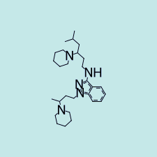 CC(C)CC(CCNc1nn(CCC(C)N2CCCCC2)c2ccccc12)N1CCCCC1